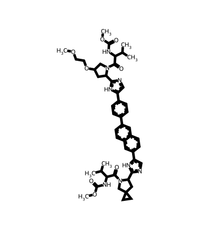 COCCOC1CC(c2ncc(-c3ccc(-c4ccc5cc(-c6cnc(C7CC8(CC8)CN7C(=O)C(NC(=O)OC)C(C)C)[nH]6)ccc5c4)cc3)[nH]2)N(C(=O)C(NC(=O)OC)C(C)C)C1